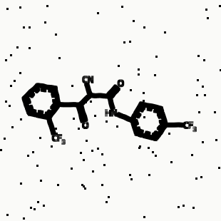 N#CC(C(=O)Nc1ccc(C(F)(F)F)cc1)C(=O)c1ccccc1C(F)(F)F